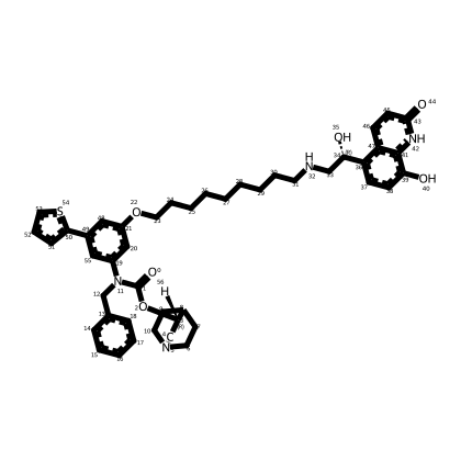 O=C(O[C@H]1CN2CCC1CC2)N(Cc1ccccc1)c1cc(OCCCCCCCCCNC[C@H](O)c2ccc(O)c3[nH]c(=O)ccc23)cc(-c2cccs2)c1